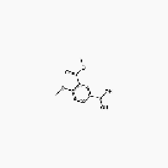 COC(=O)c1cc(B(O)O)ccc1OC